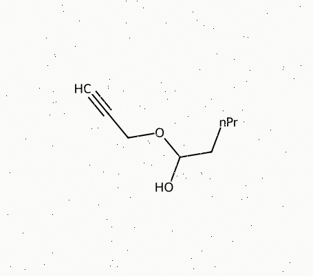 C#CCOC(O)CCCC